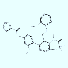 COc1ccccc1NCc1c(-c2ccc(OC(=O)c3ccco3)cc2OC)ccc2c1N(C)C(=O)C(C)(C)N2